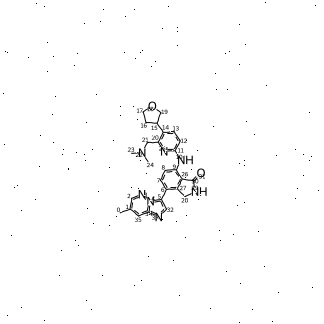 Cc1cnn2c(-c3ccc(Nc4ccc(C5CCOC5)c(CN(C)C)n4)c4c3CNC4=O)cnc2c1